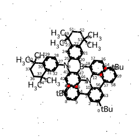 CC(C)(C)c1cc(-c2ccccc2)c(N2c3cc(C(C)(C)C)ccc3B3c4cc5c(cc4N(c4ccc6c(c4)C(C)(C)CCC6(C)C)c4cc(C(C)(C)C)cc2c43)C(C)(C)CCC5(C)C)c(-c2ccccc2)c1